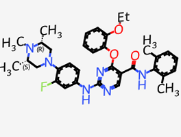 CCOc1ccccc1Oc1nc(Nc2ccc(N3C[C@@H](C)N(C)[C@@H](C)C3)c(F)c2)ncc1C(=O)Nc1c(C)cccc1C